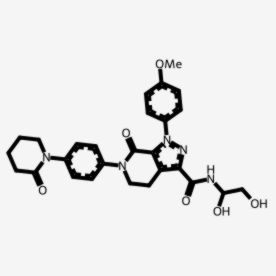 COc1ccc(-n2nc(C(=O)NC(O)CO)c3c2C(=O)N(c2ccc(N4CCCCC4=O)cc2)CC3)cc1